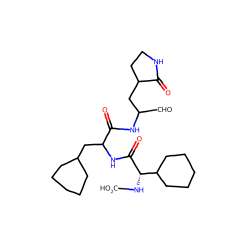 O=CC(CC1CCNC1=O)NC(=O)C(CC1CCCCC1)NC(=O)[C@@H](NC(=O)O)C1CCCCC1